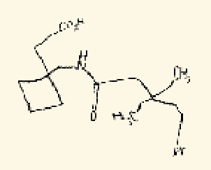 CC(C)CC(C)(C)CC(=O)NC1(CC(=O)O)CCC1